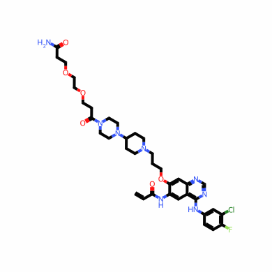 C=CC(=O)Nc1cc2c(Nc3ccc(F)c(Cl)c3)ncnc2cc1OCCCN1CCC(N2CCN(C(=O)CCOCCOCCC(N)=O)CC2)CC1